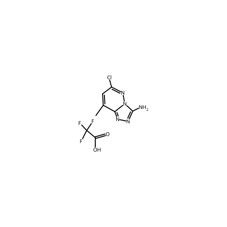 Cc1cc(Cl)nn2c(N)nnc12.O=C(O)C(F)(F)F